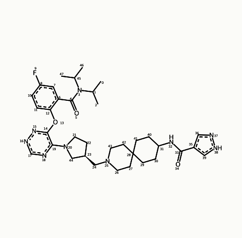 CC(C)N(C(=O)c1cc(F)ccc1Oc1nncnc1N1CC[C@@H](CN2CCC3(CCC(NC(=O)c4cn[nH]c4)CC3)CC2)C1)C(C)C